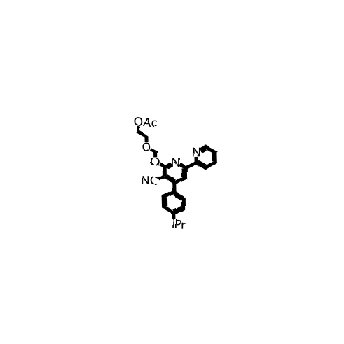 CC(=O)OCCOCOc1nc(-c2ccccn2)cc(-c2ccc(C(C)C)cc2)c1C#N